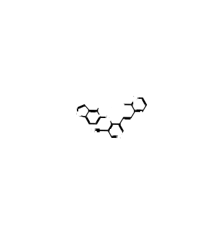 Cc1c(Nc2c(C#N)cncc2/C=C/c2cccnc2Cl)ccc2[nH]ccc12